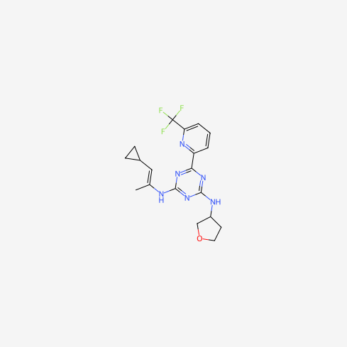 CC(=CC1CC1)Nc1nc(NC2CCOC2)nc(-c2cccc(C(F)(F)F)n2)n1